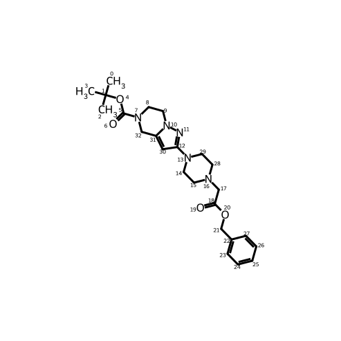 CC(C)(C)OC(=O)N1CCn2nc(N3CCN(CC(=O)OCc4ccccc4)CC3)cc2C1